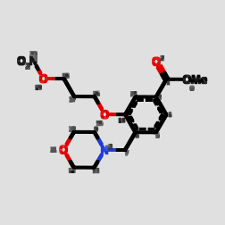 COC(=O)c1ccc(CN2CCOCC2)c(OCCCO[N+](=O)[O-])c1